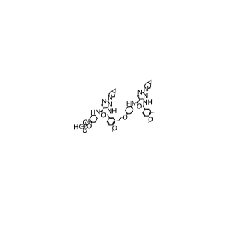 COc1ccc(CNc2nc(N3CC4CC4C3)ncc2C(=O)N[C@H]2CC[C@H](OCCc3cc(CNc4nc(N5CC6CC6C5)ncc4C(=O)N[C@H]4CC[C@H](OP(=O)(O)O)CC4)ccc3OC)CC2)cc1C